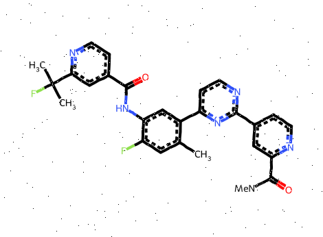 CNC(=O)c1cc(-c2nccc(-c3cc(NC(=O)c4ccnc(C(C)(C)F)c4)c(F)cc3C)n2)ccn1